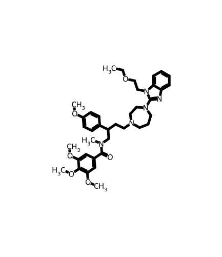 CCOCCn1c(N2CCCN(CCC(CN(C)C(=O)c3cc(OC)c(OC)c(OC)c3)c3ccc(OC)cc3)CC2)nc2ccccc21